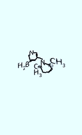 Bc1cncc(CN2[C@H](C)CCC[C@@H]2C)c1